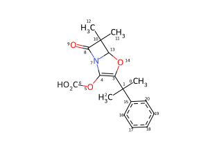 CC(C)(C1=C(OC(=O)O)N2C(=O)C(C)(C)C2O1)c1ccccc1